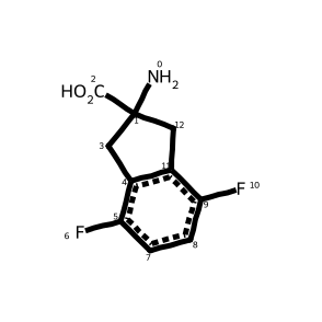 NC1(C(=O)O)Cc2c(F)ccc(F)c2C1